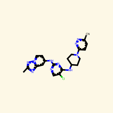 Cc1nc2cc(Nc3ncc(Cl)c(NC4CCN(c5ccc(C#N)nn5)CC4)n3)ccn2n1